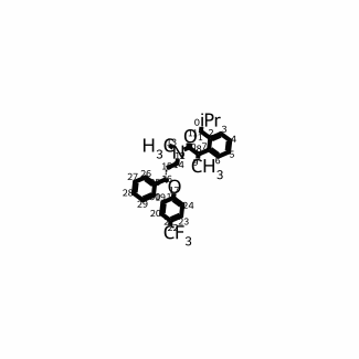 CC(C)Cc1ccccc1C(C)C(=O)N(C)CC[C@H](Oc1ccc(C(F)(F)F)cc1)c1ccccc1